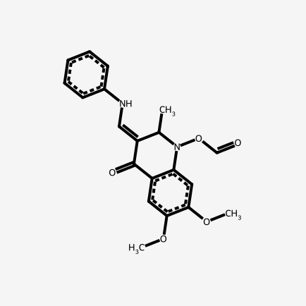 COc1cc2c(cc1OC)N(OC=O)C(C)C(=CNc1ccccc1)C2=O